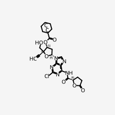 C#C[C@]1(CO)O[C@@H](n2cnc3c(NC(=O)[C@H]4CCC(=O)O4)nc(Cl)nc32)C[C@@H]1OC(=O)C12CCC(CC1)CC2